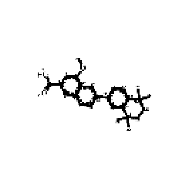 COc1cc(C(=O)O)cc2ccc(-c3ccc4c(c3)C(C)(C)CCC4(C)C)cc12